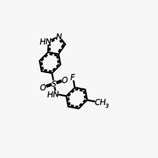 Cc1ccc(NS(=O)(=O)c2ccc3[nH]ncc3c2)c(F)c1